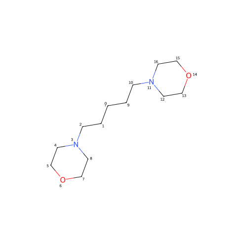 [CH](CCN1CCOCC1)CCN1CCOCC1